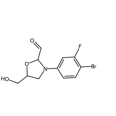 O=CC1OC(CO)CN1c1ccc(Br)c(F)c1